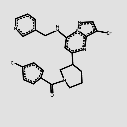 O=C(c1ccc(Cl)cc1)N1CCCC(c2cc(NCc3cccnc3)n3ncc(Br)c3n2)C1